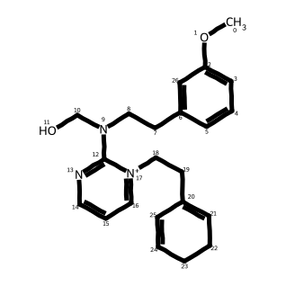 COc1cccc(CCN(CO)c2nccc[n+]2CCC2=CCCC=C2)c1